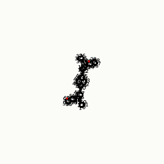 c1ccc(-n2c3ccc(-c4cc5ccc6cc(-c7ccc8c(c7)c7cc9ccccc9cc7n8-c7ccccc7)cc7ccc(c4)c5c67)cc3c3cc4ccccc4cc32)cc1